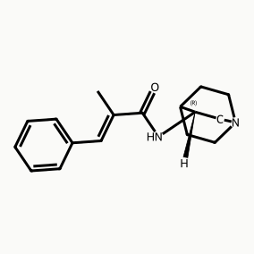 CC(=Cc1ccccc1)C(=O)N[C@H]1CN2CCC1CC2